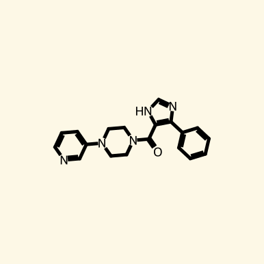 O=C(c1[nH]cnc1-c1ccccc1)N1CCN(c2cccnc2)CC1